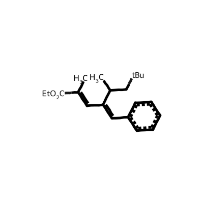 CCOC(=O)C(C)=CC(=Cc1ccccc1)C(C)CC(C)(C)C